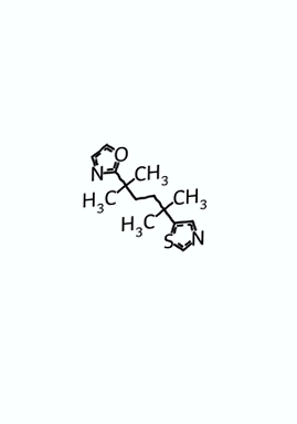 CC(C)(CCC(C)(C)c1cncs1)c1ncco1